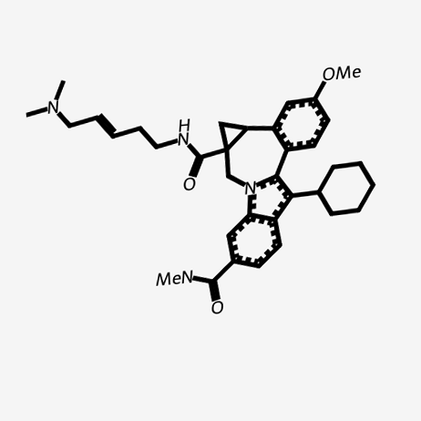 CNC(=O)c1ccc2c(C3CCCCC3)c3n(c2c1)CC1(C(=O)NCC/C=C/CN(C)C)CC1c1cc(OC)ccc1-3